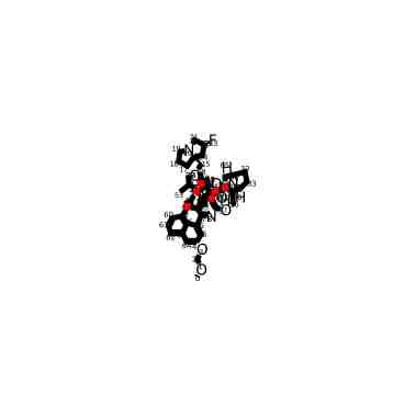 COCOc1cc(-c2nc3c4c(nc(OC[C@@]56CCCN5C[C@@H](F)C6)nc4c2F)N2C[C@H]4CC[C@@H]([C@@H]2CO3)N4C(=O)OC(C)(C)C)c2c(C#C[Si](C(C)C)(C(C)C)C(C)C)cccc2c1